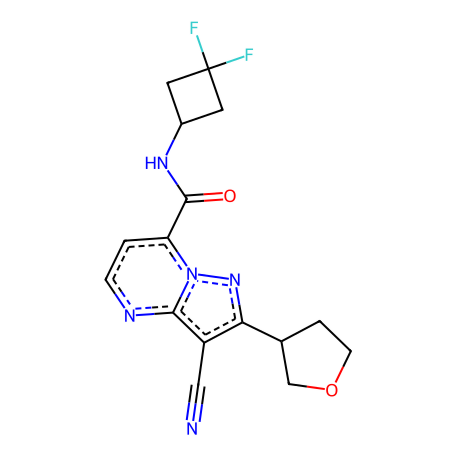 N#Cc1c(C2CCOC2)nn2c(C(=O)NC3CC(F)(F)C3)ccnc12